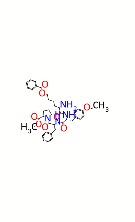 CCOc1ccc(C[C@@H](NC(=O)[C@@H](N)CCCCOC(=O)c2ccccc2)C(=O)N[C@@H](Cc2ccccc2)C(=O)N2CCC[C@@H]2C(=O)OC)cc1